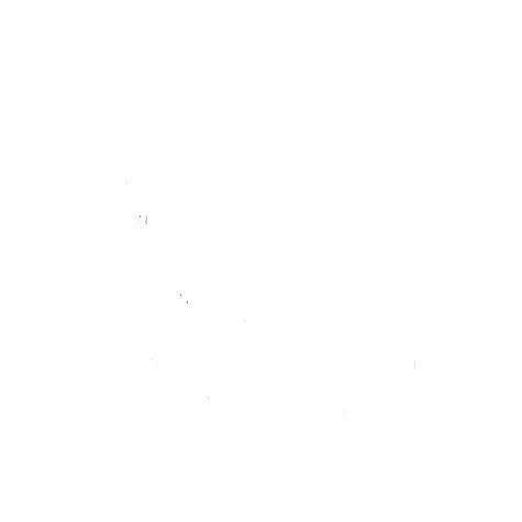 CCON=Cc1csc(S(=O)(=O)CCC(F)=C(F)F)n1